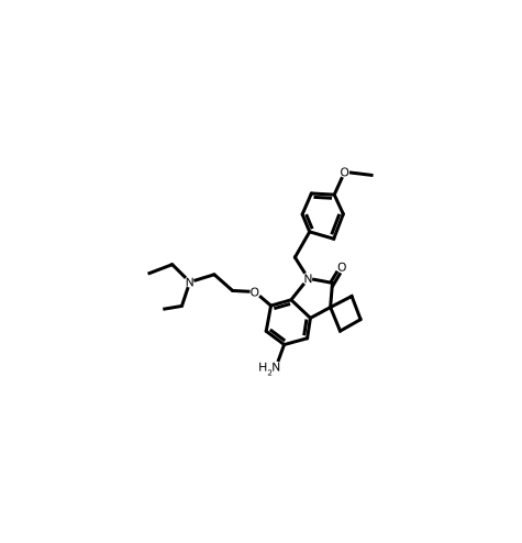 CCN(CC)CCOc1cc(N)cc2c1N(Cc1ccc(OC)cc1)C(=O)C21CCC1